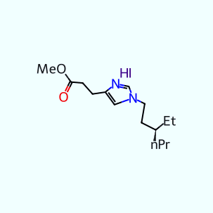 CCC[C@H](CC)CCn1cnc(CCC(=O)OC)c1.I